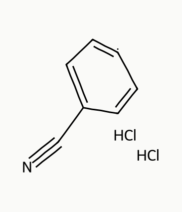 Cl.Cl.N#Cc1cc[c]cc1